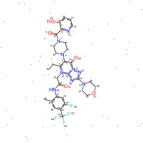 CCc1c(N2CCN(C(=O)c3ncccc3O)CC2)c(=O)n2nc(N3CCOCC3)nc2n1CC(=O)Nc1cc(F)c(C(F)(F)F)cc1C